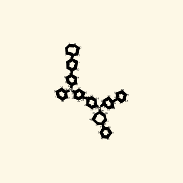 C1=CCC=C(c2ccc(-c3ccc(N(c4ccccc4)c4ccc(-c5ccc(N(C6=CC=C(c7ccccc7)CC=C6)c6ccc(-c7ccccc7)cc6)cc5)cc4)cc3)cc2)C=C1